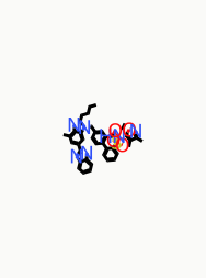 CCCCc1nc2c(C)cc(-c3nc4ccccc4n3C)cc2n1Cc1ccc(-c2ccccc2S(=O)(=O)Nc2onc(C)c2C)c(COCC)c1